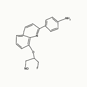 Nc1ccc(-c2ccc3cccc(OC(CF)CN=O)c3n2)cc1